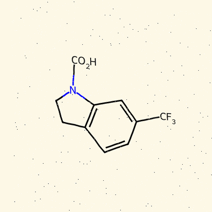 O=C(O)N1CCc2ccc(C(F)(F)F)cc21